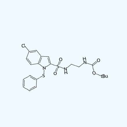 CC(C)(C)OC(=O)NCCNS(=O)(=O)c1cc2cc(Cl)ccc2n1Sc1ccccc1